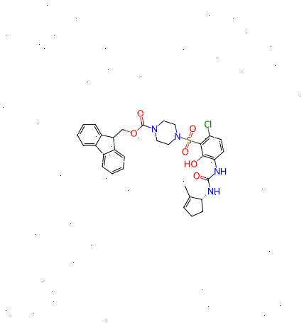 CC1=CCC[C@H]1NC(=O)Nc1ccc(Cl)c(S(=O)(=O)N2CCN(C(=O)OCC3c4ccccc4-c4ccccc43)CC2)c1O